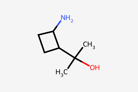 CC(C)(O)C1CCC1N